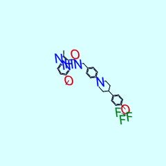 COc1ccc2nc(C)c(C(=O)NCc3ccc(N4CCC(c5ccc(OC(F)(F)F)cc5)CC4)cc3)n2c1